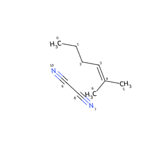 CCCC=C(C)C.N#CC#N